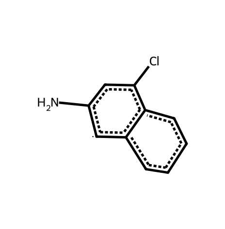 Nc1[c]c2ccccc2c(Cl)c1